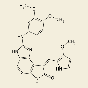 COc1ccc(Nc2nc3c4c(ccc3[nH]2)NC(=O)C4=Cc2[nH]ccc2OC)cc1OC